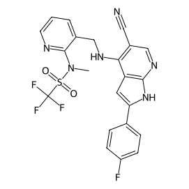 CN(c1ncccc1CNc1c(C#N)cnc2[nH]c(-c3ccc(F)cc3)cc12)S(=O)(=O)C(F)(F)F